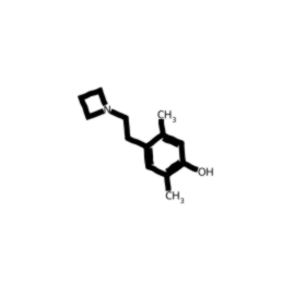 Cc1cc(CCN2CCC2)c(C)cc1O